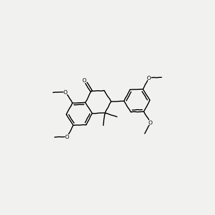 COc1cc(OC)cc(C2CC(=O)c3c(OC)cc(OC)cc3C2(C)C)c1